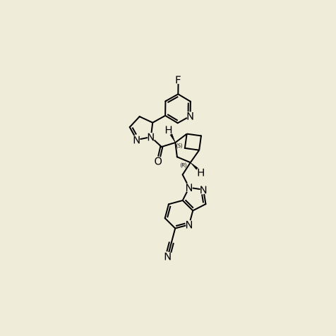 N#Cc1ccc2c(cnn2C[C@@H]2C[C@H](C(=O)N3N=CCC3c3cncc(F)c3)C3CC2C3)n1